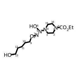 CCOC(=O)N1CCN(/[N+](O)=N/OCCCCCO)CC1